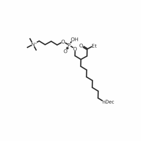 CCCCCCCCCCCCCCCCCC(COP(=O)(O)OCCCC[N+](C)(C)C)CC(=O)CC